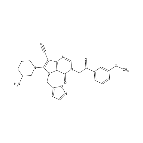 COc1cccc(C(=O)Cn2cnc3c(C#N)c(N4CCCC(N)C4)n(Cc4ccno4)c3c2=O)c1